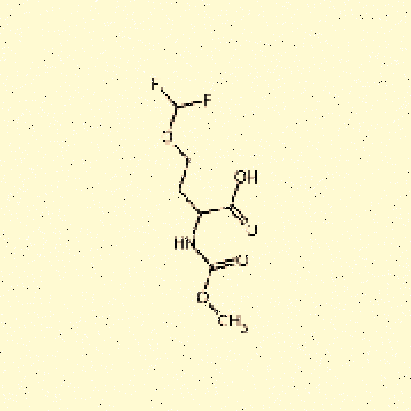 COC(=O)NC(CCOC(F)F)C(=O)O